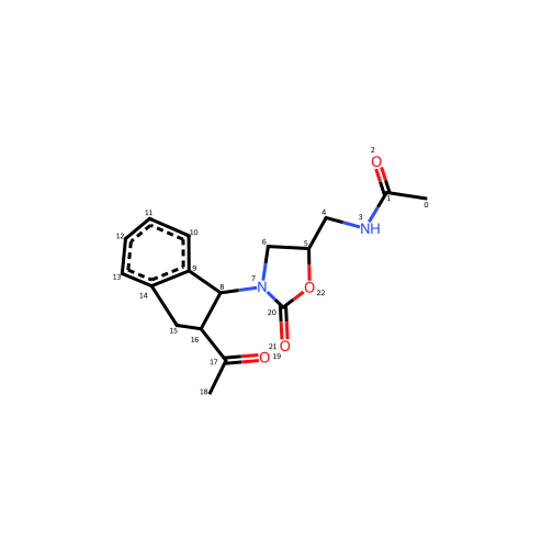 CC(=O)NCC1CN(C2c3ccccc3CC2C(C)=O)C(=O)O1